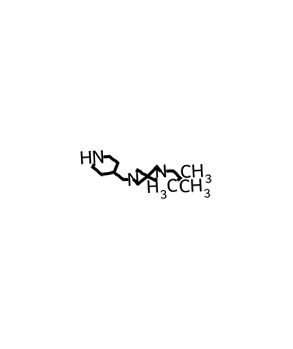 CC(C)(C)CN1CC2(CN(CC3CCNCC3)C2)C1